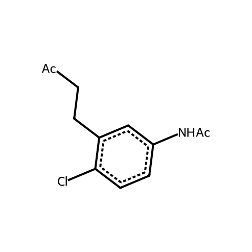 CC(=O)CCc1cc(NC(C)=O)ccc1Cl